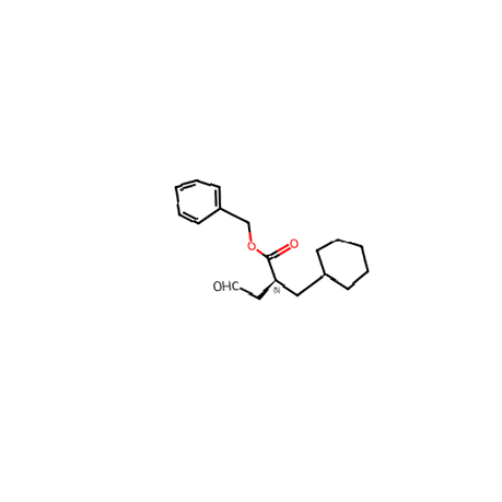 O=CC[C@H](CC1CCCCC1)C(=O)OCc1ccccc1